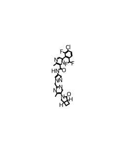 Cc1nc(Cn2cc(NC(=O)c3nc(-c4c(C(F)F)ccc(Cl)c4F)cnc3C)cn2)ncc1N1C[C@H]2CC[C@H]2C1=O